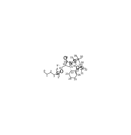 CCCC[Si](C)(C)O[C@H](C)[C@H]1C(=O)N([Si](C)(C)C(C)(C)C)[C@@H]1C1CCCC=C1O[Si](C)(C)C